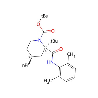 CCC[C@H]1CCN(C(=O)OC(C)(C)C)[C@](C(=O)Nc2c(C)cccc2C)(C(C)(C)C)C1